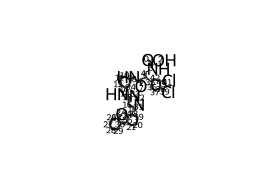 O=C(O)NCC(C(=O)Nc1cccc(Nc2cc(-c3cccc4c3oc3ccccc34)ncn2)c1)c1ccc(Cl)c(Cl)c1